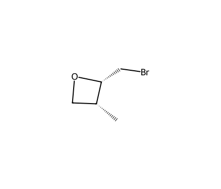 C[C@@H]1CO[C@@H]1CBr